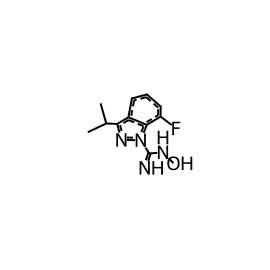 CC(C)c1nn(C(=N)NO)c2c(F)cccc12